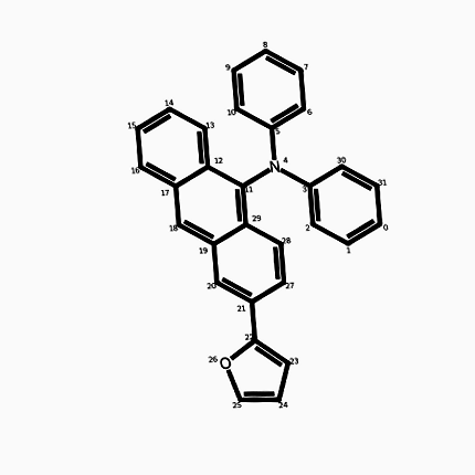 c1ccc(N(c2ccccc2)c2c3ccccc3cc3cc(-c4ccco4)ccc23)cc1